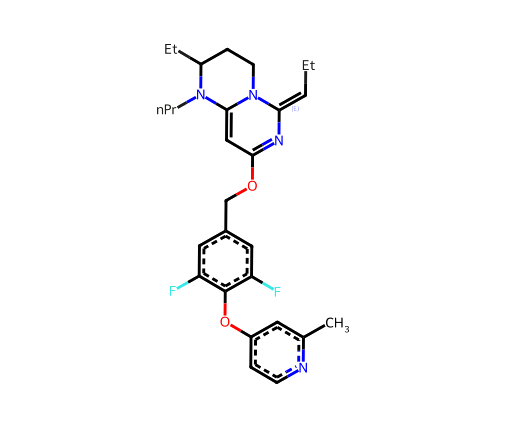 CC/C=C1/N=C(OCc2cc(F)c(Oc3ccnc(C)c3)c(F)c2)C=C2N1CCC(CC)N2CCC